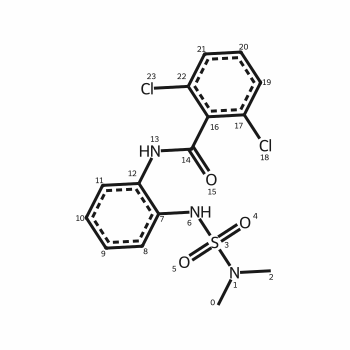 CN(C)S(=O)(=O)Nc1ccccc1NC(=O)c1c(Cl)cccc1Cl